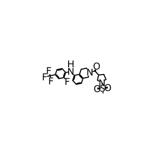 CS(=O)(=O)N1CCC(C(=O)N2CCc3c(cccc3Nc3ccc(C(F)(F)F)cc3F)C2)C1